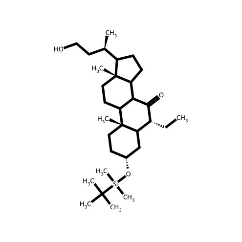 CC[C@H]1C(=O)C2C3CCC([C@H](C)CCO)[C@@]3(C)CCC2[C@@]2(C)CC[C@@H](O[Si](C)(C)C(C)(C)C)CC12